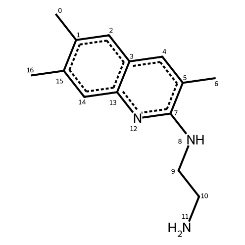 Cc1cc2cc(C)c(NCCN)nc2cc1C